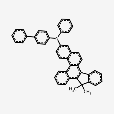 CC1(C)c2ccccc2-c2c1c1ccccc1c1c2ccc2cc(N(c3ccccc3)c3ccc(-c4ccccc4)cc3)ccc21